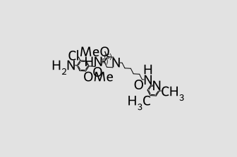 COc1cc(N)c(Cl)cc1C(=O)N[C@@H]1CCN(CCCCCC(=O)Nc2cc(C)cc(C)n2)C[C@@H]1OC